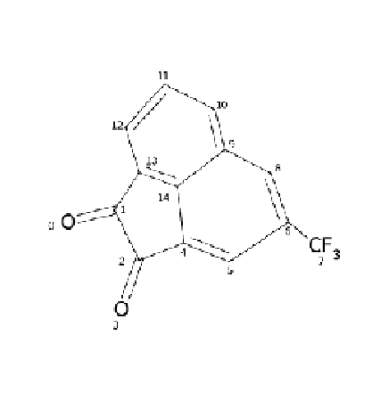 O=C1C(=O)c2cc(C(F)(F)F)cc3cccc1c23